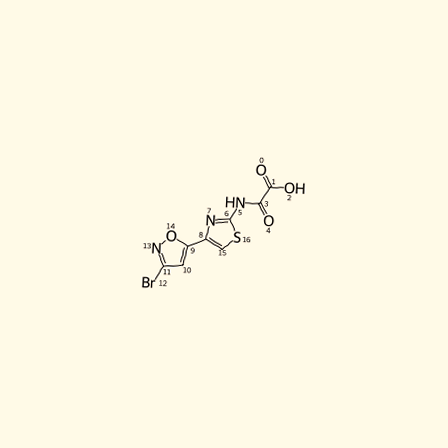 O=C(O)C(=O)Nc1nc(-c2cc(Br)no2)cs1